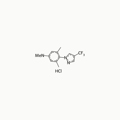 CNc1cc(C)c(-n2cc(C(F)(F)F)cn2)c(C)c1.Cl